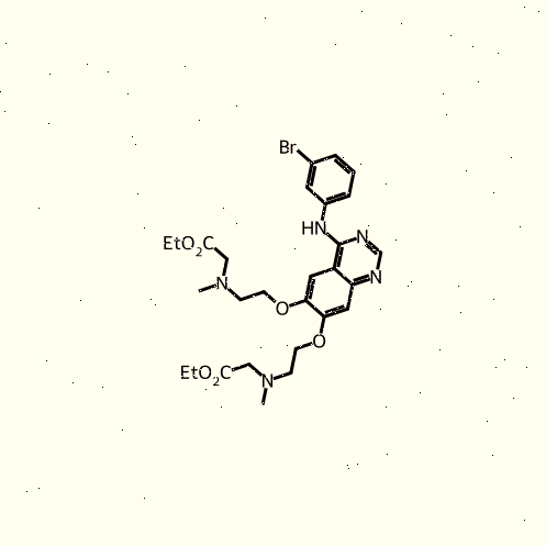 CCOC(=O)CN(C)CCOc1cc2ncnc(Nc3cccc(Br)c3)c2cc1OCCN(C)CC(=O)OCC